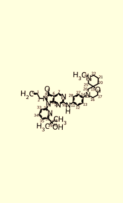 C=CCn1c(=O)c2cnc(Nc3ccc(N4CCOC5(CCCN(C)C5)C4)cc3)nc2n1-c1cccc(C(C)(C)O)n1